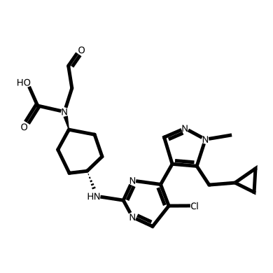 Cn1ncc(-c2nc(N[C@H]3CC[C@H](N(CC=O)C(=O)O)CC3)ncc2Cl)c1CC1CC1